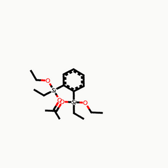 CCO[Si](CC)(OCC)c1ccccc1[Si](CC)(OCC)OCC